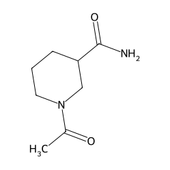 CC(=O)N1CCCC(C(N)=O)C1